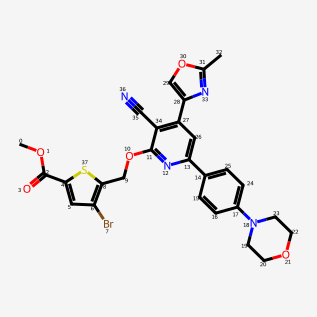 COC(=O)c1cc(Br)c(COc2nc(-c3ccc(N4CCOCC4)cc3)cc(-c3coc(C)n3)c2C#N)s1